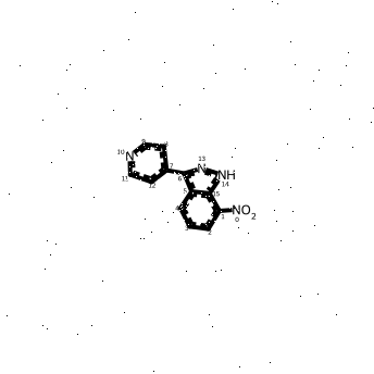 O=[N+]([O-])c1cccc2c(-c3ccncc3)n[nH]c12